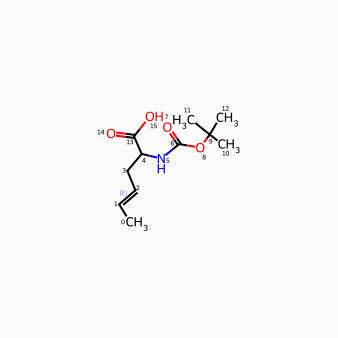 C/C=C/CC(NC(=O)OC(C)(C)C)C(=O)O